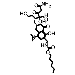 CCCCCCOC(=O)NCc1cc(N(C)C)c2c(c1O)C(=O)C[C@H](C[C@@H](CCO)[C@](O)(CO)C(=O)CC(N)=O)C2